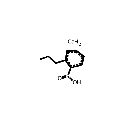 CCCc1ccccc1S(=O)O.[CaH2]